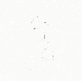 O=C(Cc1nc(N2CCOCC2)cc(=O)[nH]1)N1CCc2c(O)cccc21